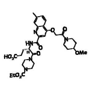 CCOC(=O)N1CCN(C(=O)[C@H](CCC(=O)O)NC(=O)c2cc(OCC(=O)N3CCC(OC)CC3)c3ccc(C)cc3n2)CC1